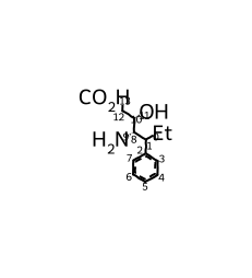 CCC(c1ccccc1)[C@H](N)[C@@H](O)CC(=O)O